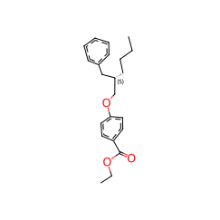 CCCC[C@H](COc1ccc(C(=O)OCC)cc1)Cc1ccccc1